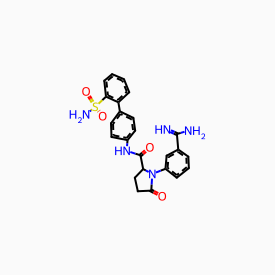 N=C(N)c1cccc(N2C(=O)CCC2C(=O)Nc2ccc(-c3ccccc3S(N)(=O)=O)cc2)c1